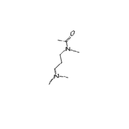 CC(=O)N(C)CCCN(C)C